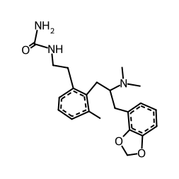 Cc1cccc(CCNC(N)=O)c1CC(Cc1cccc2c1OCO2)N(C)C